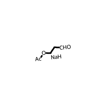 CC(=O)OCCC=O.[NaH]